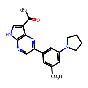 CC(C)(C)C(=O)c1c[nH]c2ncc(-c3cc(C(=O)O)cc(N4CCCC4)c3)nc12